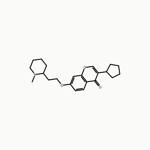 CN1CCCCC1CCOc1ccc2c(=O)c(C3CCCC3)coc2c1